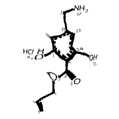 C=CCOC(=O)c1c(O)cc(CN)cc1O.Cl